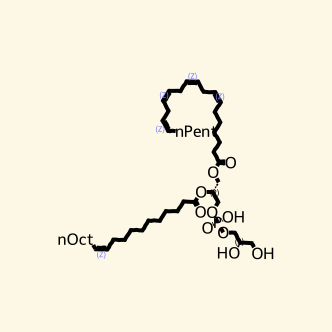 CCCCC/C=C\C/C=C\C/C=C\C/C=C\CCCCCC(=O)OC[C@H](COP(=O)(O)OC[C@@H](O)CO)OC(=O)CCCCCCCCC/C=C\CCCCCCCC